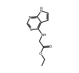 CCOC(=O)CNc1ncnc2[nH]ccc12